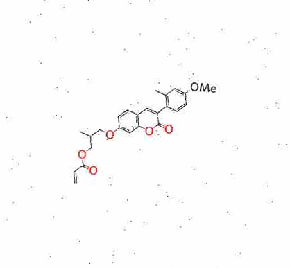 C=CC(=O)OCC(C)COc1ccc2cc(-c3ccc(OC)cc3C)c(=O)oc2c1